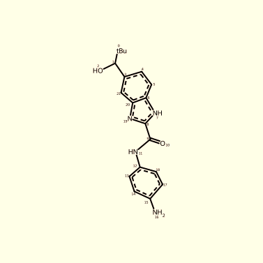 CC(C)(C)C(O)c1ccc2[nH]c(C(=O)Nc3ccc(N)cc3)nc2c1